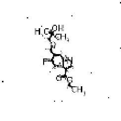 CCOC(=O)c1cnc2cc(COCC(C)(C)O)c(F)cn12